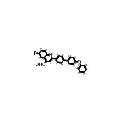 O=Cc1cc(-c2ccc(-c3ccc(Oc4ccccc4)cc3)cc2)nc2ccc(F)cc12